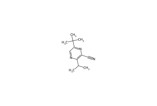 CC(C)c1ncc(C(C)(C)C)nc1C#N